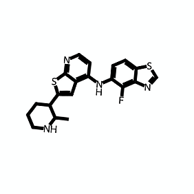 CC1NCCCC1c1cc2c(Nc3ccc4scnc4c3F)ccnc2s1